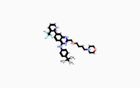 CC(C)(C)c1ccc(Nc2nc(COCCCCN3CCOCC3)nc3cc(-c4ncccc4C(F)(F)F)ccc23)cc1